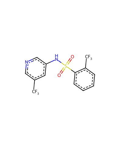 O=S(=O)(Nc1cncc(C(F)(F)F)c1)c1ccccc1C(F)(F)F